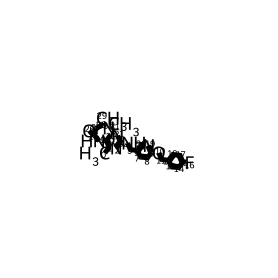 Cc1nc(NCc2ccc(OCc3ccc(F)cc3)nc2)nc2c1NC1OC1[C@H](C)N2C